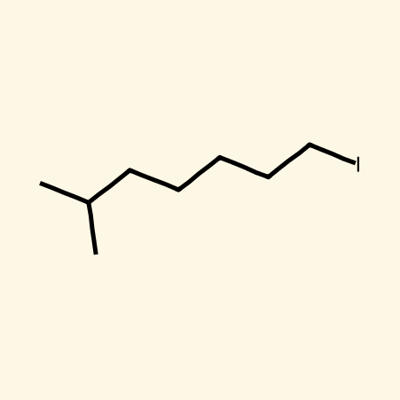 CC(C)CCCCCI